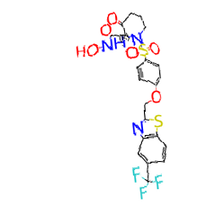 C[C@]1(C(=O)NO)C(=O)CCCN1S(=O)(=O)c1ccc(OCc2nc3cc(C(F)(F)F)ccc3s2)cc1